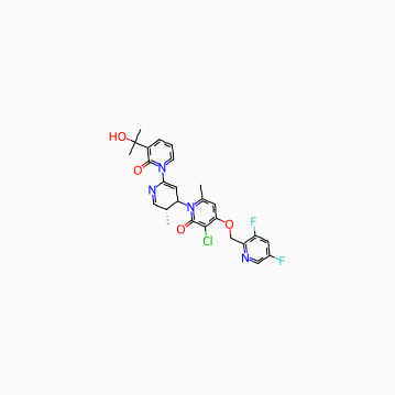 Cc1cc(OCc2ncc(F)cc2F)c(Cl)c(=O)n1C1C=C(n2cccc(C(C)(C)O)c2=O)N=C[C@H]1C